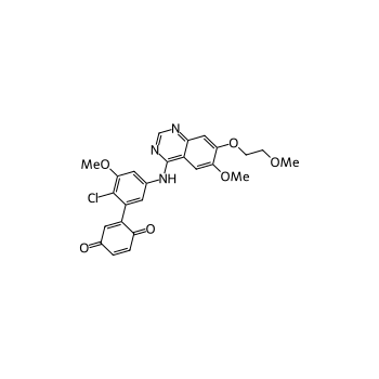 COCCOc1cc2ncnc(Nc3cc(OC)c(Cl)c(C4=CC(=O)C=CC4=O)c3)c2cc1OC